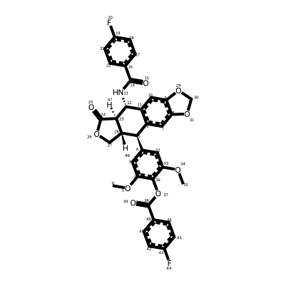 COc1cc([C@@H]2c3cc4c(cc3[C@@H](NC(=O)c3ccc(F)cc3)[C@@H]3C(=O)OC[C@@H]23)OCO4)cc(OC)c1OC(=O)c1ccc(F)cc1